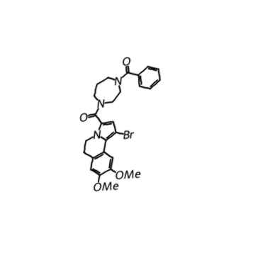 COc1cc2c(cc1OC)-c1c(Br)cc(C(=O)N3CCCN(C(=O)c4ccccc4)CC3)n1CC2